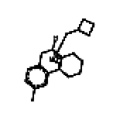 Cc1ccc2c(c1)[C@@]13CCCC[C@@]1(O)[C@@H](C2)N(CC1CCC1)CC3